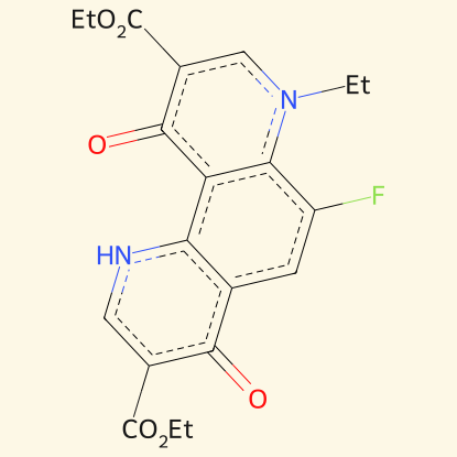 CCOC(=O)c1c[nH]c2c(cc(F)c3c2c(=O)c(C(=O)OCC)cn3CC)c1=O